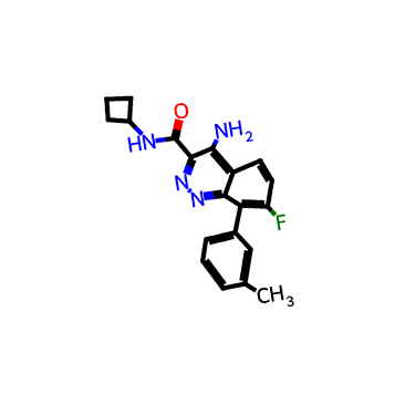 Cc1cccc(-c2c(F)ccc3c(N)c(C(=O)NC4CCC4)nnc23)c1